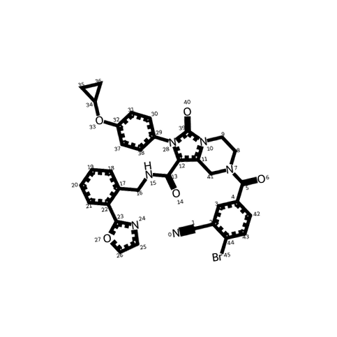 N#Cc1cc(C(=O)N2CCn3c(c(C(=O)NCc4ccccc4-c4ncco4)n(-c4ccc(OC5CC5)cc4)c3=O)C2)ccc1Br